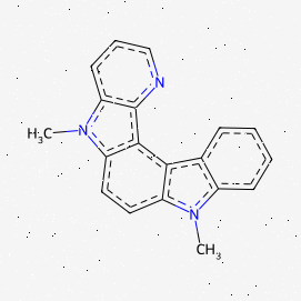 Cn1c2ccccc2c2c3c4ncccc4n(C)c3ccc21